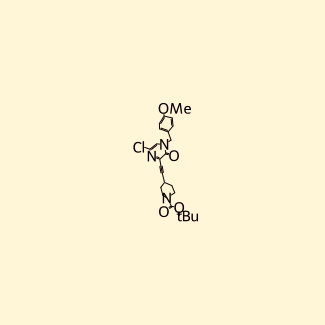 COc1ccc(Cn2cc(Cl)nc(C#CC3CCN(C(=O)OC(C)(C)C)CC3)c2=O)cc1